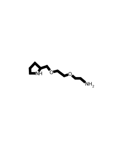 NCCOCCOCC1CCCN1